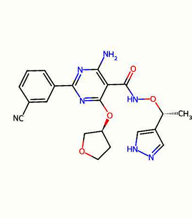 C[C@@H](ONC(=O)c1c(N)nc(-c2cccc(C#N)c2)nc1O[C@H]1CCOC1)c1cn[nH]c1